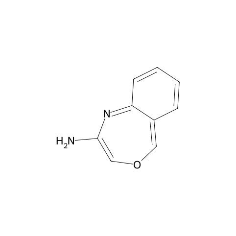 NC1=COC=c2ccccc2=N1